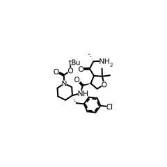 C[C@H](N)C(=O)C1[C@H](C(=O)N[C@@]2(Cc3ccc(Cl)cc3)CCCN(C(=O)OC(C)(C)C)C2)COC1(C)C